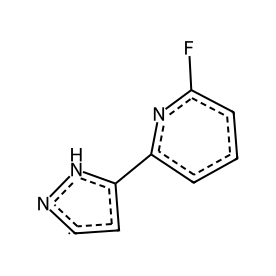 Fc1cccc(-c2c[c]n[nH]2)n1